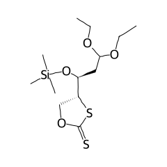 CCOC(C[C@H](O[Si](C)(C)C)[C@H]1COC(=S)S1)OCC